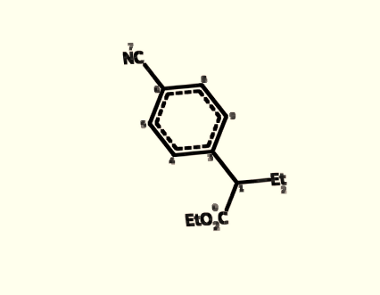 CCOC(=O)C(CC)c1ccc(C#N)cc1